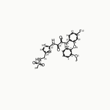 COc1ccccc1Oc1cc(F)ccc1NC(=O)C(=O)Nc1nc(CNS(C)(=O)=O)cs1